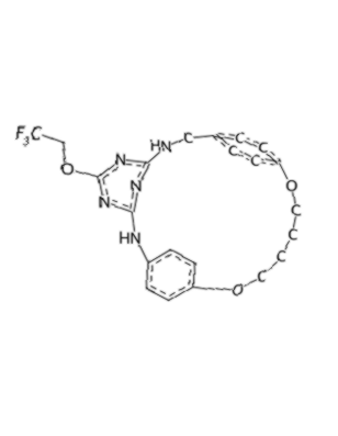 FC(F)(F)COc1nc2nc(n1)Nc1ccc(cc1)OCCCCOc1ccc(cc1)CN2